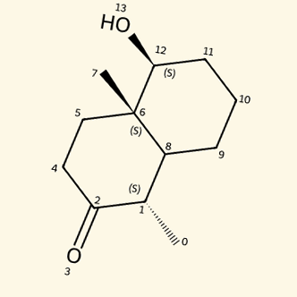 C[C@@H]1C(=O)CC[C@@]2(C)C1CCC[C@@H]2O